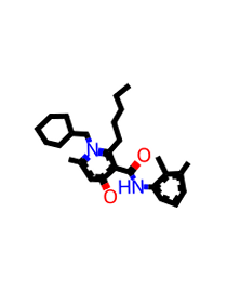 CCCCCc1c(C(=O)Nc2cccc(C)c2C)c(=O)cc(C)n1CC1CCCCC1